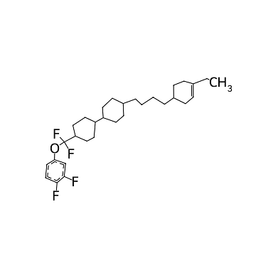 CCC1=CCC(CCCCC2CCC(C3CCC(C(F)(F)Oc4ccc(F)c(F)c4)CC3)CC2)CC1